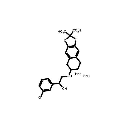 O=C(O)C1(C(=O)O)Oc2cc3c(cc2O1)CC(NCC(O)c1cccc(Cl)c1)CC3.[NaH].[NaH]